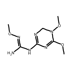 CON=C(N)NC1=NCN(OC)C(OC)=N1